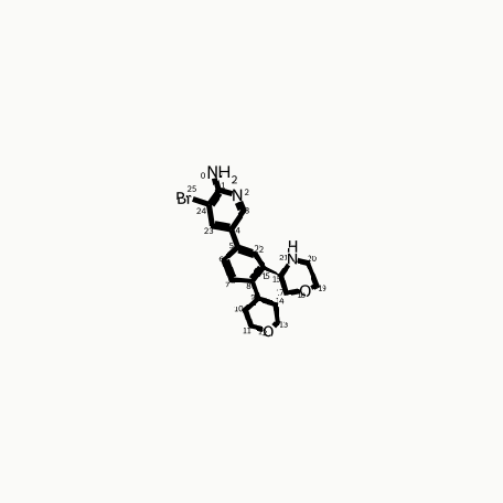 Nc1ncc(-c2ccc(C3CCOCC3)c([C@@H]3COCCN3)c2)cc1Br